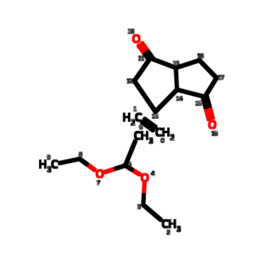 C=C.CCOC(C)OCC.O=C1CCC2C(=O)CCC12